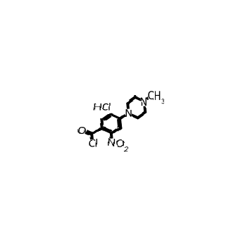 CN1CCN(c2ccc(C(=O)Cl)c([N+](=O)[O-])c2)CC1.Cl